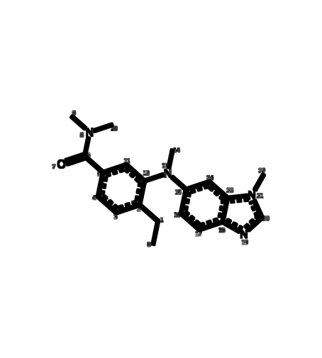 CCc1ccc(C(=O)N(C)C)cc1N(C)c1ccc2ncn(C)c2c1